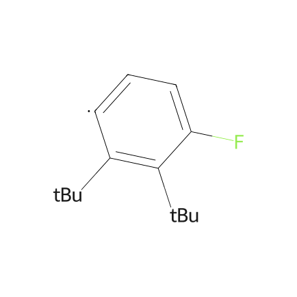 CC(C)(C)c1[c]ccc(F)c1C(C)(C)C